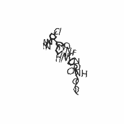 CCOCCOCCNC(=O)Oc1ccc(-c2[nH]c([C@@H]3CCc4cc(-c5cc(Cl)ccc5-n5cnnn5)cc(=O)n43)nc2F)cn1